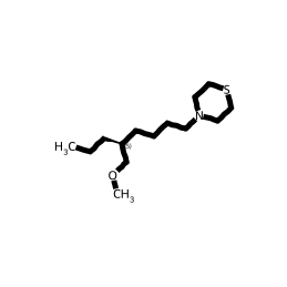 CCC[C@@H](CCCCN1CCSCC1)COC